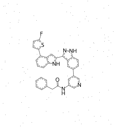 O=C(Cc1ccccc1)Nc1cncc(-c2ccc3[nH]nc(-c4cc5c(-c6ccc(F)s6)cccc5[nH]4)c3c2)c1